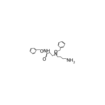 NCCCCN(CCC(=C=O)NOCc1ccccc1)OCc1ccccc1